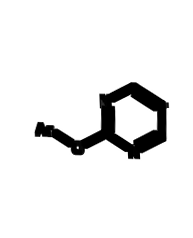 CC(=O)Oc1nc[c]cn1